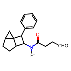 CCN(C(=O)CCC=O)C1C2CCC3CC32C1c1ccccc1